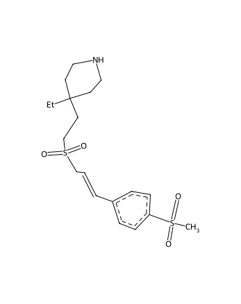 CCC1(CCS(=O)(=O)CC=Cc2ccc(S(C)(=O)=O)cc2)CCNCC1